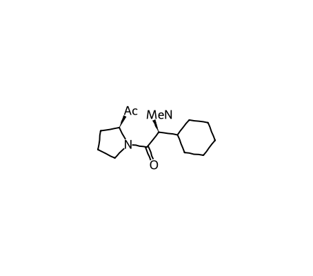 CN[C@H](C(=O)N1CCC[C@H]1C(C)=O)C1CCCCC1